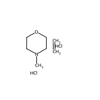 C=C.CN1CCOCC1.Cl.Cl